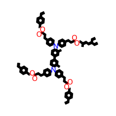 C=CC(C=C)=C/C=C(\C)COC(=O)CCc1ccc(N(c2ccc(CCC(=O)OCc3ccc(C=C)cc3)cc2)c2ccc(-c3ccc(N(c4ccc(CCC(=O)OCc5ccc(C=C)cc5)cc4)c4ccc(CCC(=O)OCc5ccc(C=C)cc5)cc4)c(C)c3)cc2C)cc1